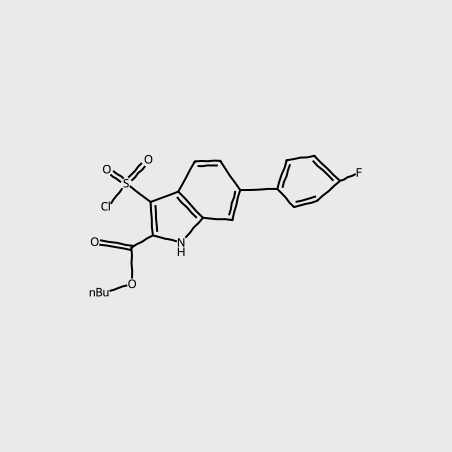 CCCCOC(=O)c1[nH]c2cc(-c3ccc(F)cc3)ccc2c1S(=O)(=O)Cl